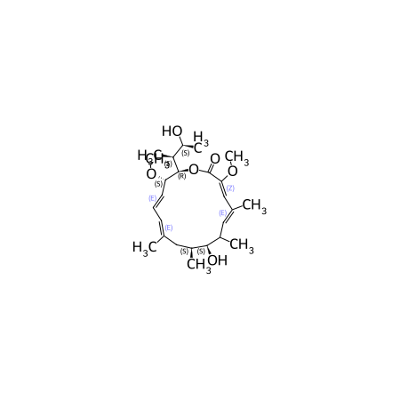 CO/C1=C\C(C)=C\C(C)[C@@H](O)[C@@H](C)C/C(C)=C/C=C/[C@H](OC)[C@@H]([C@@H](C)[C@H](C)O)OC1=O